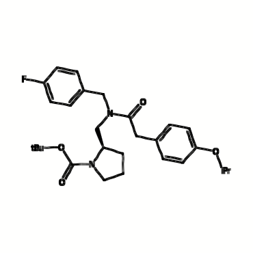 CC(C)Oc1ccc(CC(=O)N(Cc2ccc(F)cc2)C[C@H]2CCCN2C(=O)OC(C)(C)C)cc1